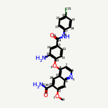 COc1cc2nccc(Oc3ccc(C(=O)Nc4ccc(F)cc4)cc3N)c2cc1C(N)=O